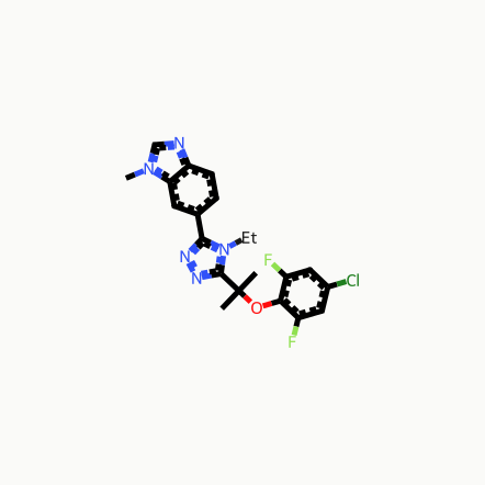 CCn1c(-c2ccc3ncn(C)c3c2)nnc1C(C)(C)Oc1c(F)cc(Cl)cc1F